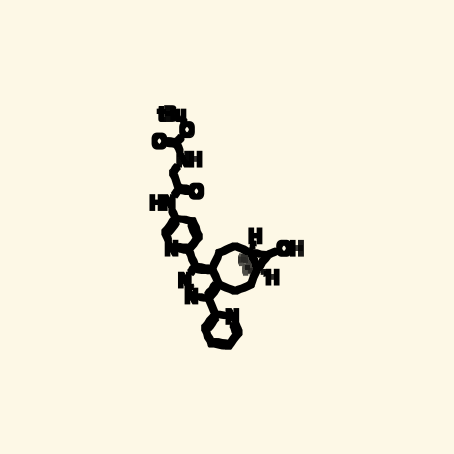 CC(C)(C)OC(=O)NCC(=O)Nc1ccc(-c2nnc(-c3ccccn3)c3c2CC[C@H]2C(O)[C@H]2CC3)nc1